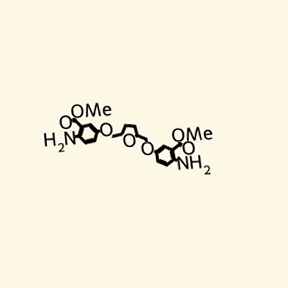 COC(=O)c1cc(OCC2CCC(COc3ccc(N)c(C(=O)OC)c3)O2)ccc1N